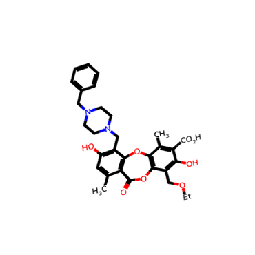 CCOCc1c(O)c(C(=O)O)c(C)c2c1OC(=O)c1c(C)cc(O)c(CN3CCN(Cc4ccccc4)CC3)c1O2